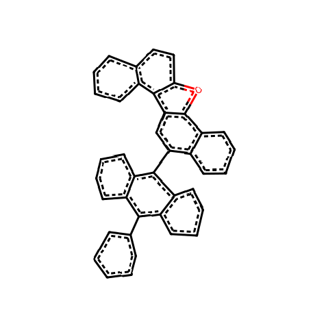 c1ccc(-c2c3ccccc3c(-c3cc4c(oc5ccc6ccccc6c54)c4ccccc34)c3ccccc23)cc1